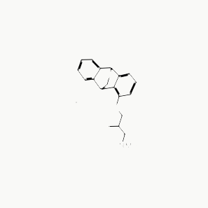 CNCC(O)COc1cccc2c1C1CCC2c2ccccc21.Cl